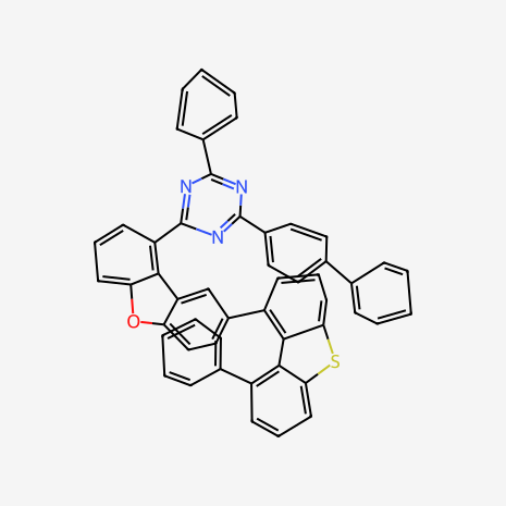 c1ccc(-c2ccc(-c3nc(-c4ccccc4)nc(-c4cccc5oc6ccc(-c7cccc8sc9cccc(-c%10ccccc%10)c9c78)cc6c45)n3)cc2)cc1